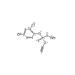 C#COP(=S)(Oc1ccc(Cl)cc1Cl)SCCC